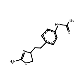 CC(C)(C)C(=O)Nc1ccc(CCC2COC(N)=N2)cc1